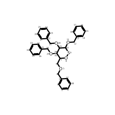 c1ccc(COCC2OSC(OCc3ccccc3)C(OCc3ccccc3)[C@@H]2OCc2ccccc2)cc1